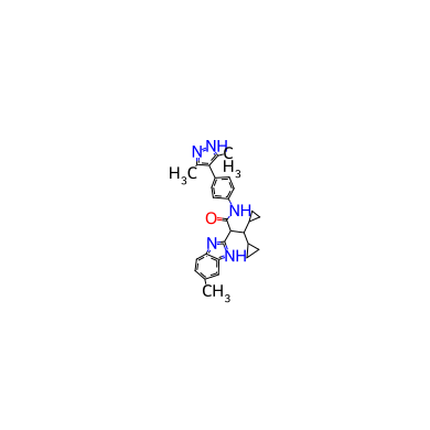 Cc1ccc2nc(C(C(=O)Nc3ccc(-c4c(C)n[nH]c4C)cc3)C(C3CC3)C3CC3)[nH]c2c1